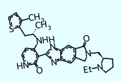 CCN1CCC[C@@H]1CN1Cc2cc3nc(-c4c(N[C@@H](C)Cc5sccc5C)cc[nH]c4=O)[nH]c3cc2C1=O